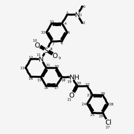 CN(C)Cc1ccc(S(=O)(=O)N2CCCc3ccc(NC(=O)Cc4ccc(Cl)cc4)cc32)cc1